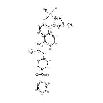 CC(CN1CCN(S(=O)(=O)c2ccccn2)CC1)Nc1ncnc2c(-c3cn(C)nc3C(F)(F)F)cccc12